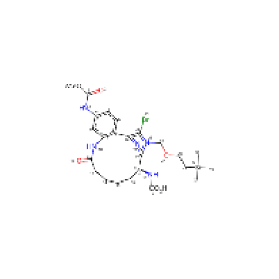 COC(=O)Nc1ccc2c(c1)NC(=O)CCCC[C@H](NC(=O)O)c1nc-2c(Br)n1COCC[Si](C)(C)C